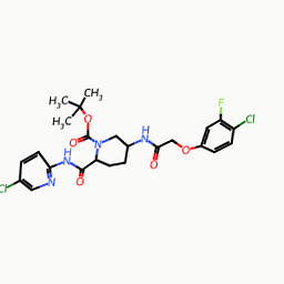 CC(C)(C)OC(=O)N1CC(NC(=O)COc2ccc(Cl)c(F)c2)CCC1C(=O)Nc1ccc(Cl)cn1